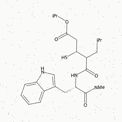 CNC(=O)[C@H](Cc1c[nH]c2ccccc12)NC(=O)C(CC(C)C)C(S)CC(=O)OC(C)C